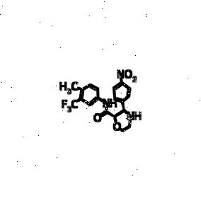 Cc1ccc(NC(=O)[C@@H]2OCCN[C@@H]2c2ccc([N+](=O)[O-])cc2)cc1C(F)(F)F